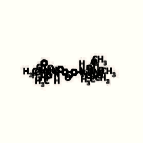 COC[C@H]1C[C@@H](c2ncc(-c3ccc4c(c3)COc3cc5c(ccc6nc([C@@H]7C[C@@H](C)[C@@H](C)N7C(=O)C(NC(=O)OC)c7ccccc7)[nH]c65)cc3-4)[nH]2)N(C(=O)[C@@H](NC(=O)OC)C(C)C)C1